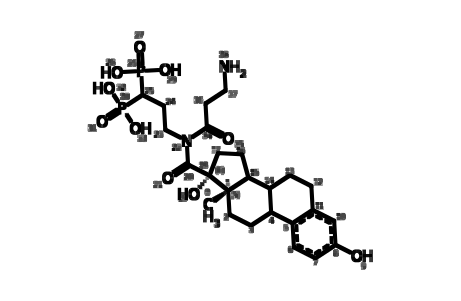 C[C@]12CCC3c4ccc(O)cc4CCC3C1CC[C@]2(O)C(=O)N(CCC(P(=O)(O)O)P(=O)(O)O)C(=O)CCN